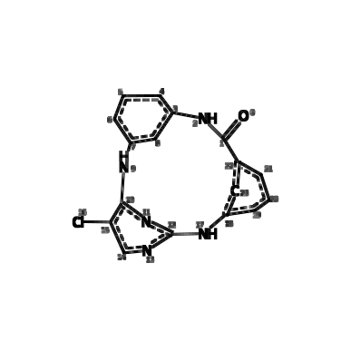 O=C1Nc2cccc(c2)Nc2nc(ncc2Cl)Nc2cccc1c2